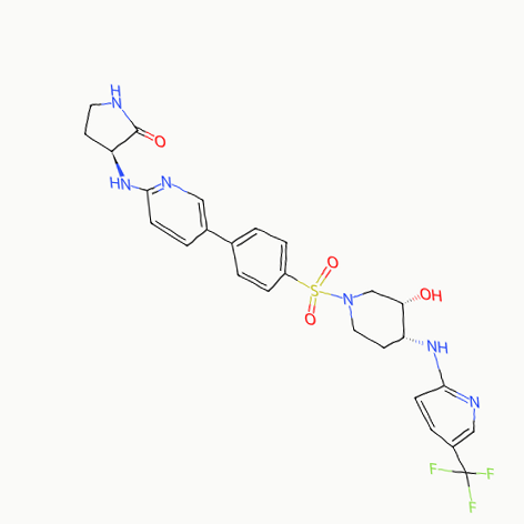 O=C1NCC[C@@H]1Nc1ccc(-c2ccc(S(=O)(=O)N3CC[C@@H](Nc4ccc(C(F)(F)F)cn4)[C@@H](O)C3)cc2)cn1